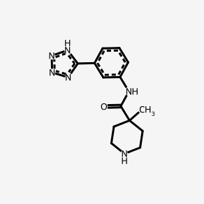 CC1(C(=O)Nc2cccc(-c3nnn[nH]3)c2)CCNCC1